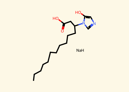 CCCCCCCCCCCC(CC(=O)O)n1cncc1O.[NaH]